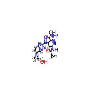 CNC(=O)c1nnc(NC(=O)C2CC2)cc1Nc1nc2ccc(N3CCC3CO)cn2n1